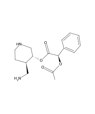 CC(=O)O[C@@H](C(=O)O[C@H]1CNCC[C@@H]1CN)c1ccccc1